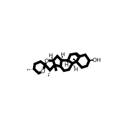 C[C@@H]1CCC2(OC1)O[C@H]1C[C@@H]3C(CC[C@H]4[C@H]3CC=C3C[C@@H](O)CC[C@@]34C)C1(C)[C@@H]2C